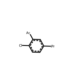 CC(=O)c1cc(C(C)C)ccc1Cl